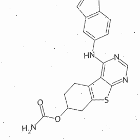 NC(=O)OC1CCc2c(sc3ncnc(Nc4ccc5[nH]ncc5c4)c23)C1